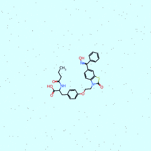 CCCC(=O)NC(Cc1ccc(OCCn2c(=O)sc3cc(C(=NO)c4ccccc4)ccc32)cc1)C(=O)O